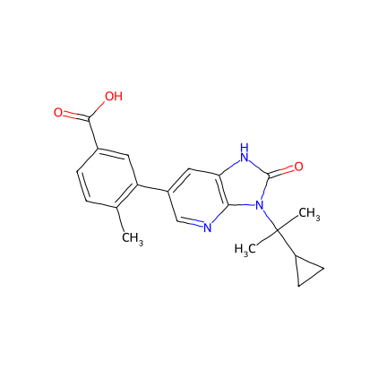 Cc1ccc(C(=O)O)cc1-c1cnc2c(c1)[nH]c(=O)n2C(C)(C)C1CC1